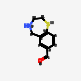 O=Cc1ccc2c(c1)CNCCS2